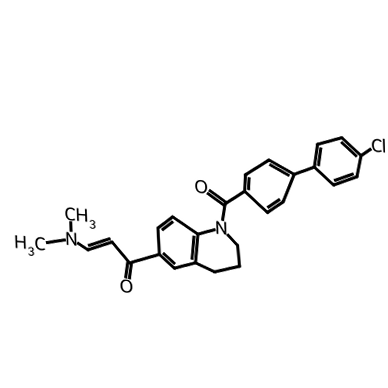 CN(C)C=CC(=O)c1ccc2c(c1)CCCN2C(=O)c1ccc(-c2ccc(Cl)cc2)cc1